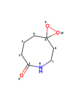 O=C1CCCC2(CCN1)OO2